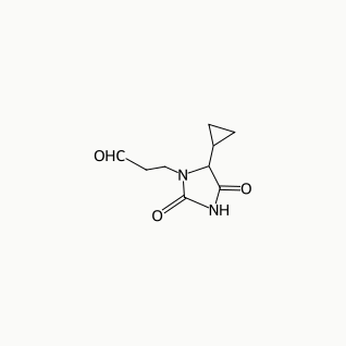 O=CCCN1C(=O)NC(=O)C1C1CC1